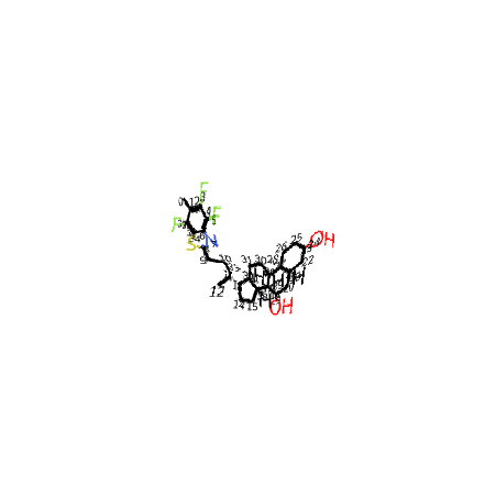 Cc1c(F)c(F)c2nc(CCC(C)[C@H]3CC[C@H]4[C@@H]5[C@H](O)C[C@@H]6C[C@H](O)CC[C@]6(C)[C@H]5CC[C@]34C)sc2c1F